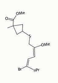 CCC/C(Br)=C\C=C(/CSC1CC(C)(C(=O)OC)C1)OC